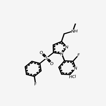 CNCc1cc(S(=O)(=O)c2cccc(F)c2)n(-c2cccnc2F)n1.Cl